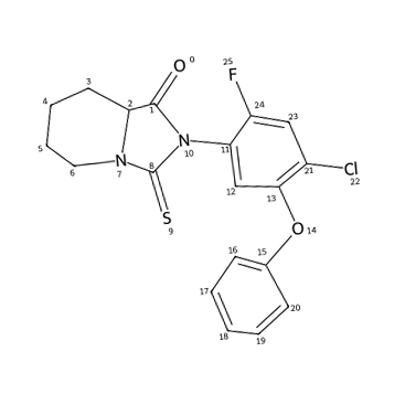 O=C1C2CCCCN2C(=S)N1c1cc(Oc2ccccc2)c(Cl)cc1F